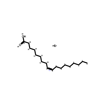 CCCCCCCC/C=C\CCCCCCCC(=O)O.[Er]